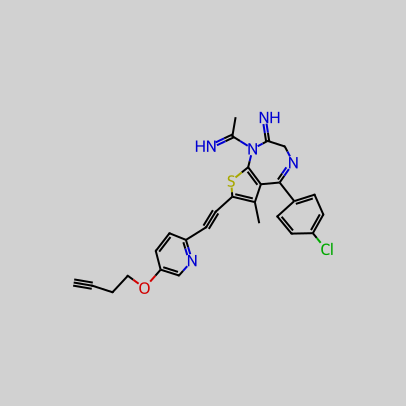 C#CCCOc1ccc(C#Cc2sc3c(c2C)C(c2ccc(Cl)cc2)=NCC(=N)N3C(C)=N)nc1